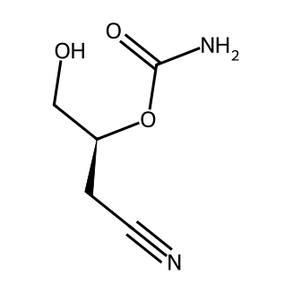 N#CC[C@@H](CO)OC(N)=O